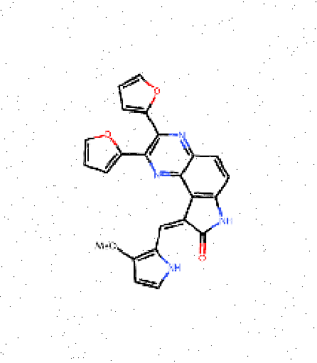 COc1cc[nH]c1C=C1C(=O)Nc2ccc3nc(-c4ccco4)c(-c4ccco4)nc3c21